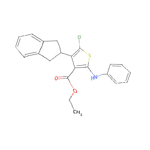 CCOC(=O)c1c(Nc2ccccc2)sc(Cl)c1C1Cc2ccccc2C1